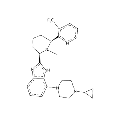 CN1[C@@H](c2nc3cccc(N4CCN(C5CC5)CC4)c3[nH]2)CCC[C@H]1c1ncccc1C(F)(F)F